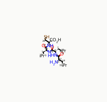 CC(C)C[C@H](NC(=O)[C@H](CC(C)C)NC(=O)[C@@H](N)CC(C)C)C(=O)N[C@@H](CS)C(=O)O